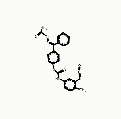 Cc1ccc(NC(=O)Oc2ccc(/C(=N/OC(N)=O)c3ccccc3)cc2)cc1N=C=O